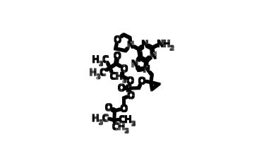 CC(C)(C)C(=O)OCOP(=O)(COC1(Cn2cnc3c(N4CCOCC4)nc(N)nc32)CC1)OCOC(=O)C(C)(C)C